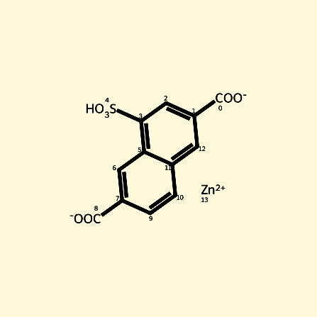 O=C([O-])c1cc(S(=O)(=O)O)c2cc(C(=O)[O-])ccc2c1.[Zn+2]